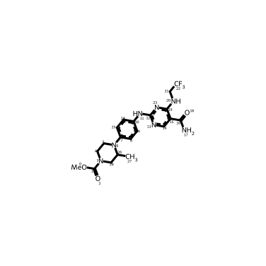 COC(=O)N1CCN(c2ccc(Nc3ncc(C(N)=O)c(NCC(F)(F)F)n3)cc2)C(C)C1